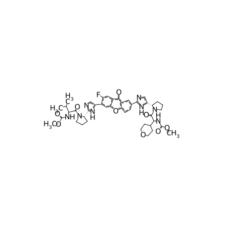 COC(=O)N[C@H](C(=O)N1CCC[C@H]1c1ncc(-c2cc3oc4ccc(-c5ncc([C@@H]6CCCN6C(=O)[C@@H](NC(=O)OC)C6CCOCC6)[nH]5)cc4c(=O)c3cc2F)[nH]1)C(C)C